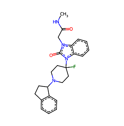 CNC(=O)Cn1c(=O)n(C2(F)CCN(C3CCc4ccccc43)CC2)c2ccccc21